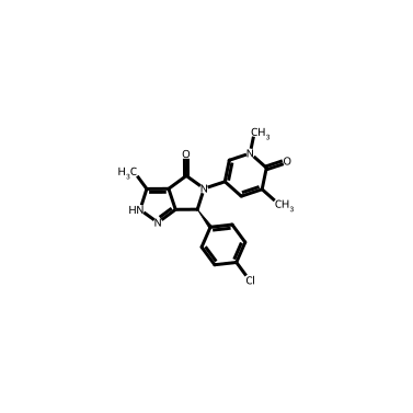 Cc1[nH]nc2c1C(=O)N(c1cc(C)c(=O)n(C)c1)[C@H]2c1ccc(Cl)cc1